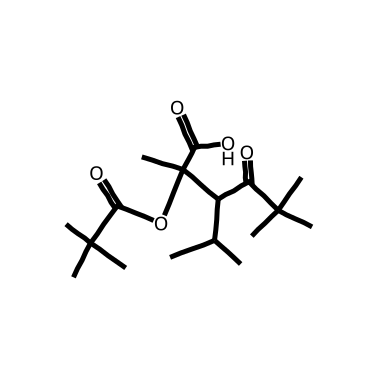 CC(C)C(C(=O)C(C)(C)C)C(C)(OC(=O)C(C)(C)C)C(=O)O